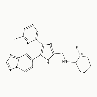 Cc1cccc(-c2nc(CNC3CCCC[C@H]3F)[nH]c2-c2ccn3ncnc3c2)n1